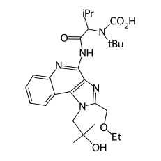 CCOCc1nc2c(NC(=O)C(C(C)C)N(C(=O)O)C(C)(C)C)nc3ccccc3c2n1CC(C)(C)O